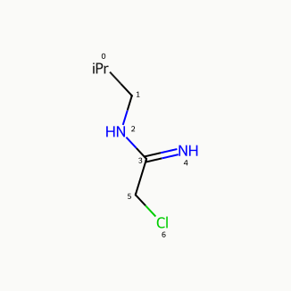 CC(C)CNC(=N)CCl